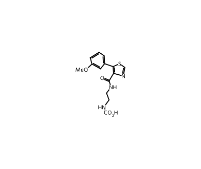 COc1cccc(-c2scnc2C(=O)NCCNC(=O)O)c1